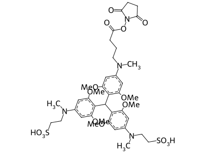 COc1cc(N(C)CCCC(=O)ON2C(=O)CCC2=O)cc(OC)c1C(c1c(OC)cc(N(C)CCS(=O)(=O)O)cc1OC)c1c(OC)cc(N(C)CCS(=O)(=O)O)cc1OC